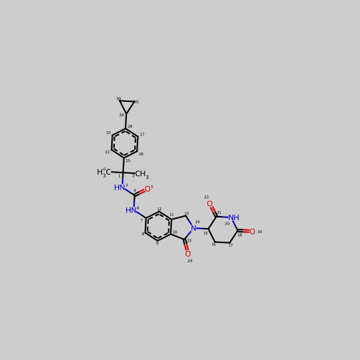 CC(C)(NC(=O)Nc1ccc2c(c1)CN(C1CCC(=O)NC1=O)C2=O)c1ccc(C2CC2)cc1